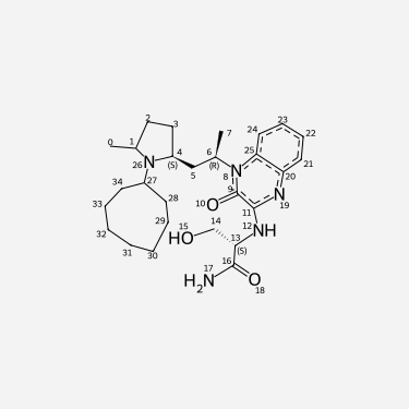 CC1CC[C@@H](C[C@@H](C)n2c(=O)c(N[C@@H](CO)C(N)=O)nc3ccccc32)N1C1CCCCCCC1